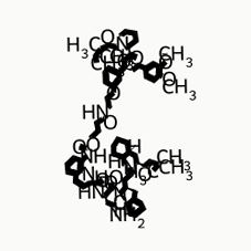 CCC(C)(C)C(=O)C(=O)N1CCCC[C@H]1C(=O)O[C@H](CCc1ccc(OC)c(OC)c1)c1cccc(OCCNC(=O)CCCOC(=O)Nc2cccc3ccc(C(=O)N[C@H](CC(N)=O)C(=O)N[C@H](Cc4ccccc4)[C@H](O)CN4C[C@H]5CCCC[C@H]5C[C@H]4C(=O)CC(C)(C)C)nc23)c1